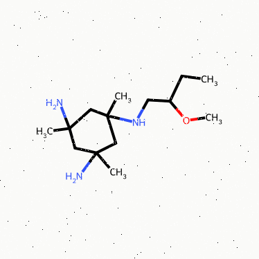 CCC(CNC1(C)CC(C)(N)CC(C)(N)C1)OC